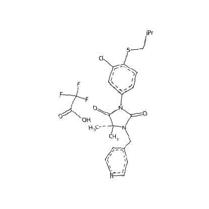 CC(C)CSc1ccc(N2C(=O)N(Cc3ccncc3)C(C)(C)C2=O)cc1Cl.O=C(O)C(F)(F)F